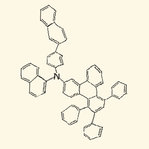 c1ccc(-c2cc(-c3ccccc3)c3c4ccccc4c4cc(N(c5ccc(-c6ccc7ccccc7c6)cc5)c5cccc6ccccc56)ccc4c3c2-c2ccccc2)cc1